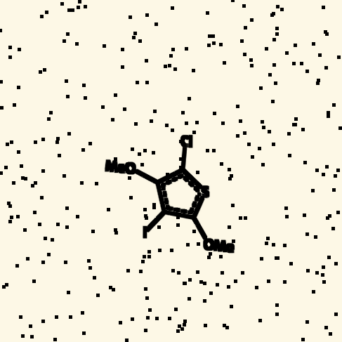 COc1sc(Cl)c(OC)c1I